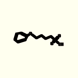 O=S(=O)(O)CCCCOc1[c]cccc1